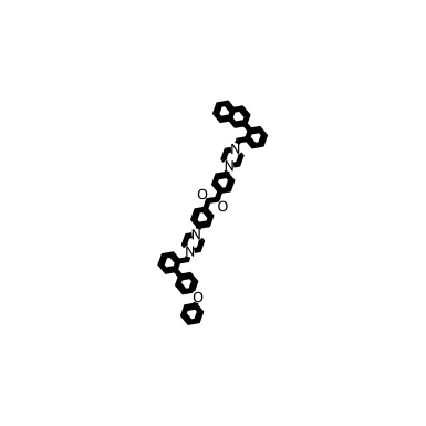 O=C(C(=O)c1ccc(N2CCN(Cc3ccccc3-c3ccc4ccccc4c3)CC2)cc1)c1ccc(N2CCN(Cc3ccccc3-c3ccc(Oc4ccccc4)cc3)CC2)cc1